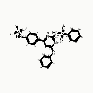 CS(=O)(=O)Nc1ccc(-c2cc(Oc3ccccc3)nc(NS(=O)(=O)c3ccccc3)n2)cc1